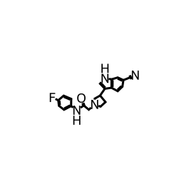 N#Cc1ccc2c(C3CCN(CC(=O)Nc4ccc(F)cc4)C3)c[nH]c2c1